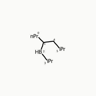 CCCC(BC(C)C)CC(C)C